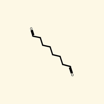 O=[C]CCCCCC[C]=O